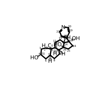 C[C@]12CC[C@H](O)C[C@@H]1CC[C@@H]1[C@@H]2CC[C@]2(C)[C@@](O)(c3ccncc3)CC[C@]12O